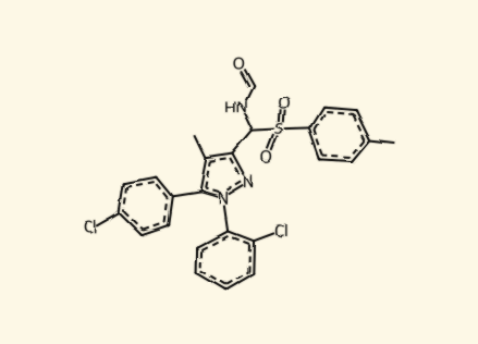 Cc1ccc(S(=O)(=O)C(NC=O)c2nn(-c3ccccc3Cl)c(-c3ccc(Cl)cc3)c2C)cc1